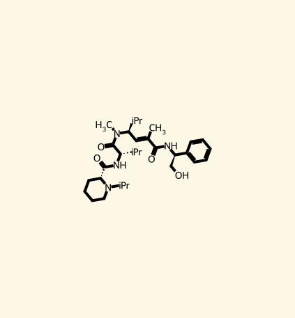 C/C(=C\[C@H](C(C)C)N(C)C(=O)[C@@H](NC(=O)[C@H]1CCCCN1C(C)C)C(C)C)C(=O)N[C@H](CO)c1ccccc1